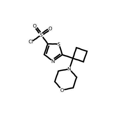 O=S(=O)(Cl)c1cnc(C2(N3CCOCC3)CCC2)s1